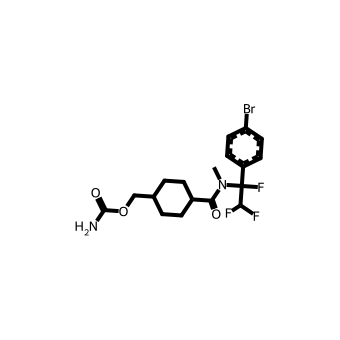 CN(C(=O)C1CCC(COC(N)=O)CC1)C(F)(c1ccc(Br)cc1)C(F)F